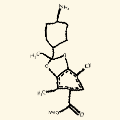 COC(=O)c1cc(Cl)c2c(c1C)OC(C)(C1CCC(N)CC1)O2